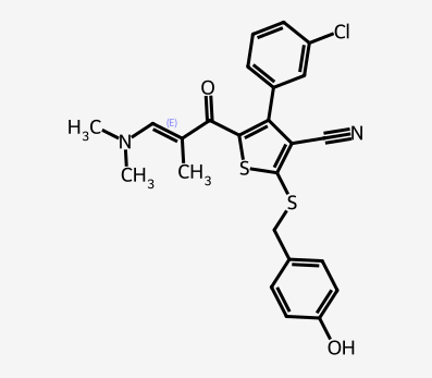 C/C(=C\N(C)C)C(=O)c1sc(SCc2ccc(O)cc2)c(C#N)c1-c1cccc(Cl)c1